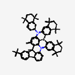 Cc1cc2c3c4c1C1(C)c5cc(C(C)(C)C)ccc5-c5cccc(c51)N4c1cc4c(cc1B3c1cc3c(cc1N2c1ccc2c(c1)C(C)(C)CCC2(C)C)C(C)(C)CCC3(C)C)C(C)(C)CCC4(C)C